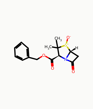 CC1(C)[C@H](C(=O)OCc2ccccc2)N2C(=O)C[C@H]2[S+]1[O-]